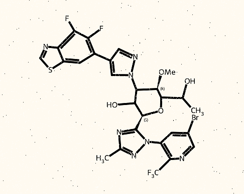 CO[C@H]1C(C(C)O)O[C@@H](c2nc(C)nn2-c2cc(Br)cnc2C(F)(F)F)C(O)C1n1cc(-c2cc3scnc3c(F)c2F)cn1